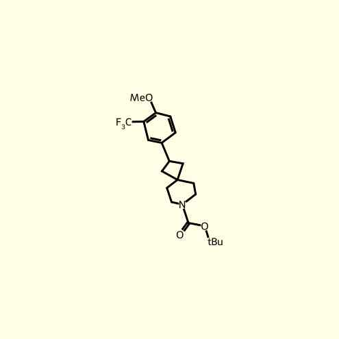 COc1ccc(C2CC3(CCN(C(=O)OC(C)(C)C)CC3)C2)cc1C(F)(F)F